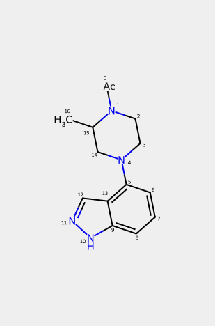 CC(=O)N1CCN(c2cccc3[nH]ncc23)CC1C